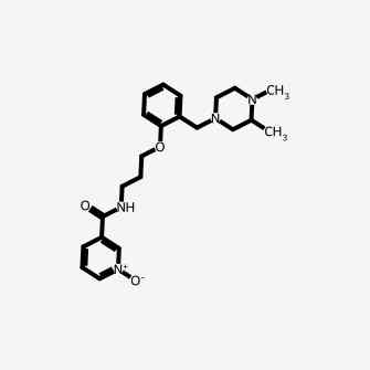 CC1CN(Cc2ccccc2OCCCNC(=O)c2ccc[n+]([O-])c2)CCN1C